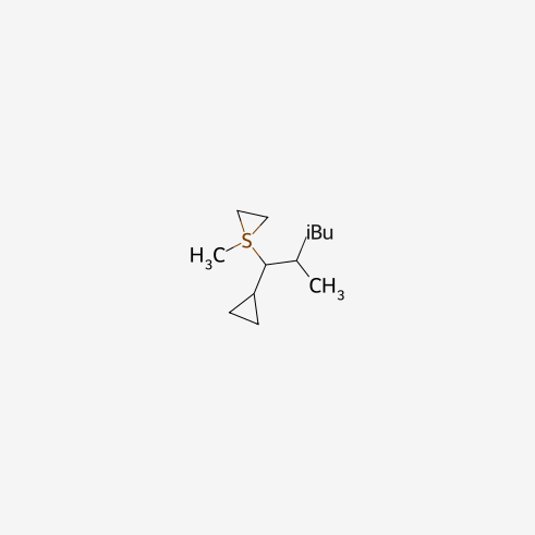 CCC(C)C(C)C(C1CC1)S1(C)CC1